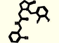 CCc1ccccc1CNC(=O)CC1CCC(=O)N1Cc1cccc(F)c1F